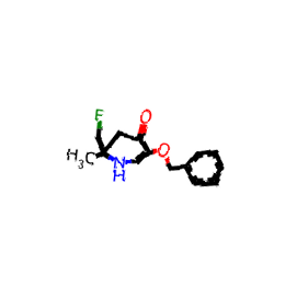 CC1(CF)CC(=O)C(OCc2ccccc2)=CN1